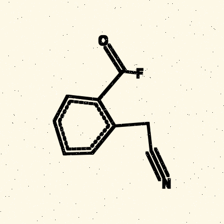 N#CCc1ccccc1C(=O)F